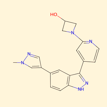 Cn1cc(-c2ccc3[nH]nc(-c4ccnc(N5CC(O)C5)c4)c3c2)cn1